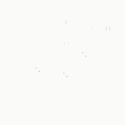 Cc1cccc2[nH]c(C(=O)N[C@H](C(=O)NC(CC(=O)O)C(=O)CF)C(C)C)c(Cl)c12